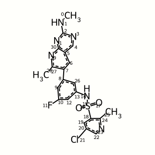 CNc1ncc2cc(-c3cc(F)cc(NS(=O)(=O)c4cc(Cl)cnc4C)c3)c(C)nc2n1